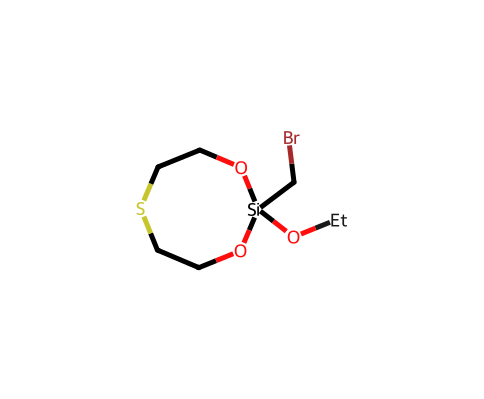 CCO[Si]1(CBr)OCCSCCO1